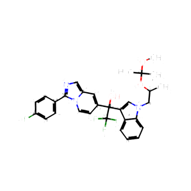 COC(C)(C)OC(C)Cn1cc(C(O)(c2ccn3c(-c4ccc(F)cc4)ncc3c2)C(F)(F)F)c2ccccc21